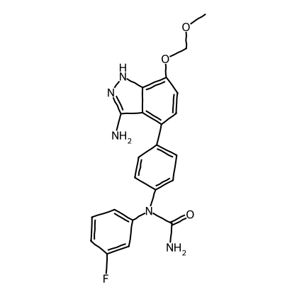 COCOc1ccc(-c2ccc(N(C(N)=O)c3cccc(F)c3)cc2)c2c(N)n[nH]c12